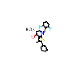 Cc1c(-c2ccccc2)sc2c1c(=O)c(C(=O)O)cn2Cc1c(F)cccc1F